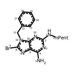 CCCCCNc1nc(N)c2nc(Br)n(Cc3ccccc3)c2n1